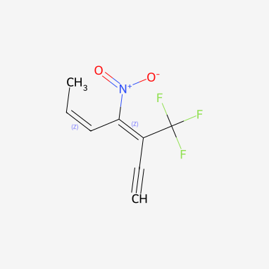 C#C/C(=C(\C=C/C)[N+](=O)[O-])C(F)(F)F